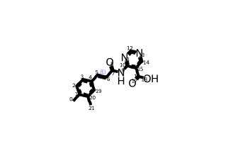 Cc1ccc(/C=C/C(=O)Nc2ncncc2C(=O)O)cc1C